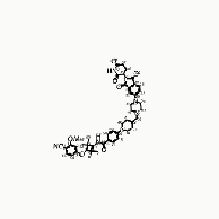 COc1cc(O[C@H]2C(C)(C)[C@H](NC(=O)c3ccc(N4CCC(CN5CCN(c6ccc7c(c6)C(=O)N(C6CCC(=O)NC6=O)C7=O)CC5)CC4)cc3)C2(C)C)ccc1C#N